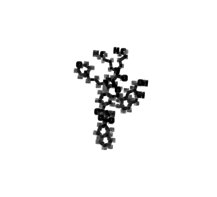 CCCCN(CCCC)C(=O)c1cn(CCCN2CCOCC2)c(-c2ccc(C(=O)NS(=O)(=O)c3ccc4ccccc4c3)cc2C(=O)c2cccc3c2CC(CO)NC3)n1